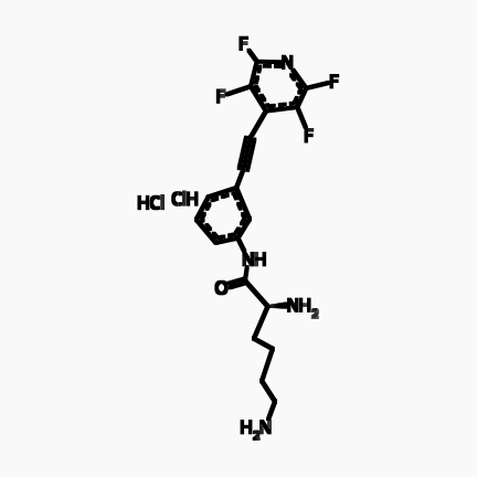 Cl.Cl.NCCCC[C@H](N)C(=O)Nc1cccc(C#Cc2c(F)c(F)nc(F)c2F)c1